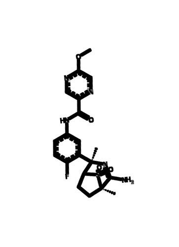 COc1cnc(C(=O)Nc2ccc(F)c([C@@]3(C)N=C(N)[C@@]4(C)CCC3S4(=O)=O)c2)cn1